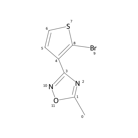 Cc1nc(-c2ccsc2Br)no1